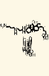 CC(C)[C@@H](CC[C@@H](C)[C@H]1CC[C@H]2[C@@H]3[C@H](O)C[C@H]4C[C@@H](NCCCNCCCCN)CC[C@]4(C)[C@H]3CC[C@]12C)OS(=O)(=O)O.O.O.O.O.O.O.O.O=P(O)(O)O